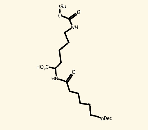 CCCCCCCCCCCCCCCC(=O)NC(CCCCNC(=O)OC(C)(C)C)C(=O)O